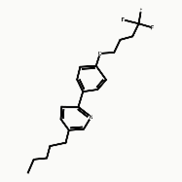 CCCCCc1ccc(-c2ccc(OCCCC(F)(F)F)cc2)nc1